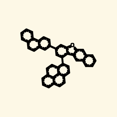 c1ccc2cc3c(cc2c1)oc1cc(-c2ccc4c(ccc5ccccc54)c2)cc(-c2ccc4ccc5cccc6ccc2c4c56)c13